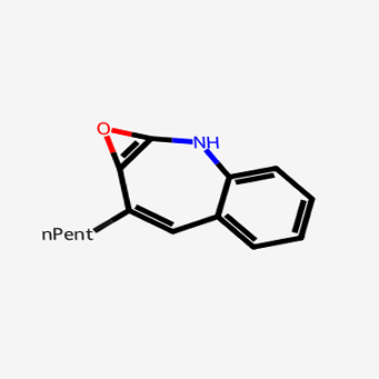 CCCCCc1cc2ccccc2[nH]c2oc1=2